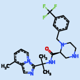 Cc1cccn2c(C(C)(C)NC(=O)[C@@H]3CNCCN3Cc3cccc(C(F)(F)F)c3)ncc12